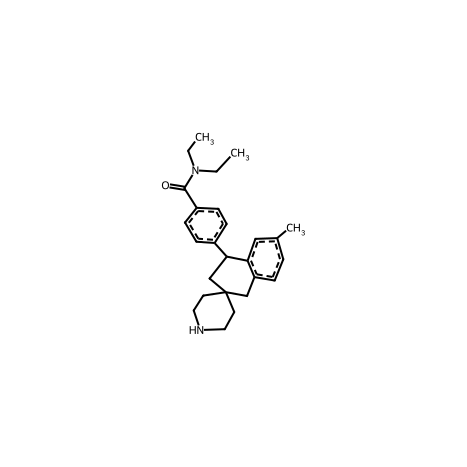 CCN(CC)C(=O)c1ccc(C2CC3(CCNCC3)Cc3ccc(C)cc32)cc1